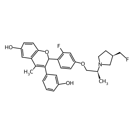 CC1=C(c2cccc(O)c2)C(c2ccc(OC[C@H](C)N3CC[C@@H](CF)C3)cc2F)Oc2ccc(O)cc21